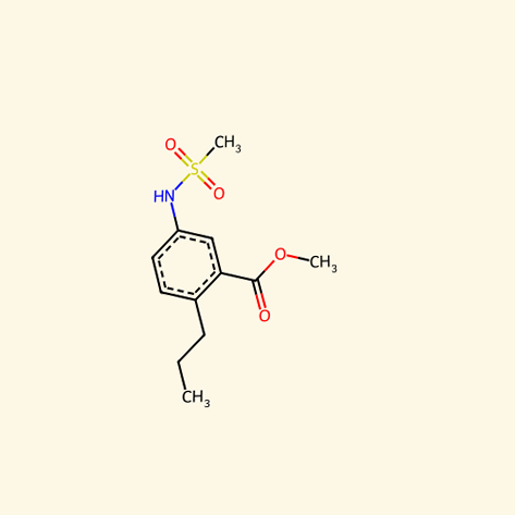 CCCc1ccc(NS(C)(=O)=O)cc1C(=O)OC